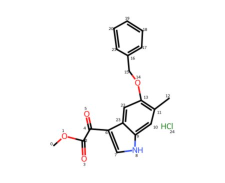 COC(=O)C(=O)c1c[nH]c2cc(C)c(OCc3ccccc3)cc12.Cl